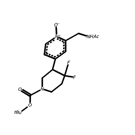 CC(=O)NCc1cc(C2CN(C(=O)OC(C)(C)C)CCC2(F)F)cc[n+]1[O-]